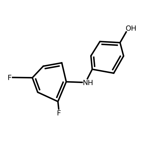 Oc1ccc(Nc2ccc(F)cc2F)cc1